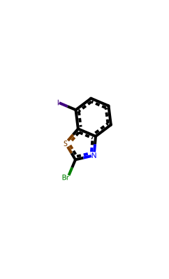 Brc1nc2cccc(I)c2s1